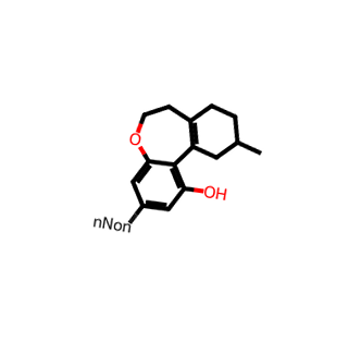 CCCCCCCCCc1cc(O)c2c(c1)OCCC1=C2CC(C)CC1